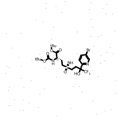 CC(C)(C)OC(=O)N[C@@H](CCS(=N)(=O)CCC(O)(c1ccc(Br)cn1)C(F)(F)F)C(=O)OC(C)(C)C